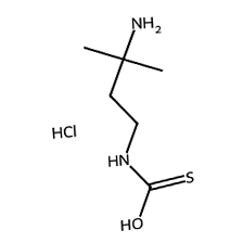 CC(C)(N)CCNC(O)=S.Cl